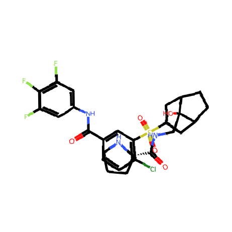 O=C(Nc1cc(F)c(F)c(F)c1)c1ccc(Cl)c(S(=O)(=O)C2CC3CCC(C2)C3(O)CNC(=O)[C@@H]2CCCN2)c1